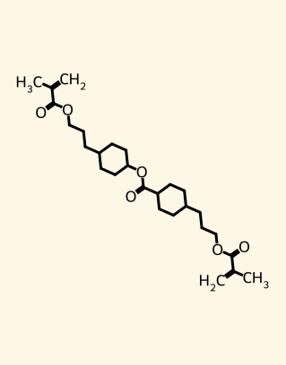 C=C(C)C(=O)OCCCC1CCC(OC(=O)C2CCC(CCCOC(=O)C(=C)C)CC2)CC1